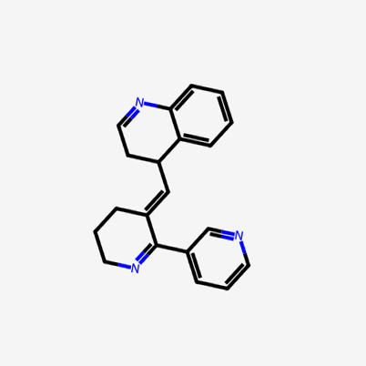 C1=Nc2ccccc2C(C=C2CCCN=C2c2cccnc2)C1